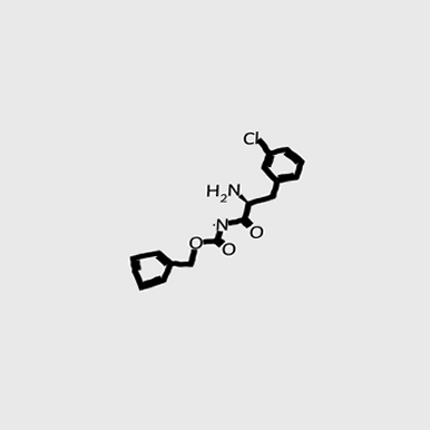 N[C@@H](Cc1cccc(Cl)c1)C(=O)[N]C(=O)OCc1ccccc1